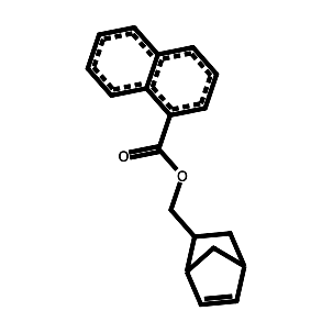 O=C(OCC1CC2C=CC1C2)c1cccc2ccccc12